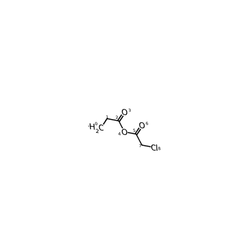 [CH2]CC(=O)OC(=O)CCl